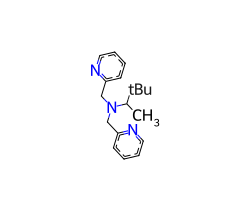 CC(N(Cc1ccccn1)Cc1ccccn1)C(C)(C)C